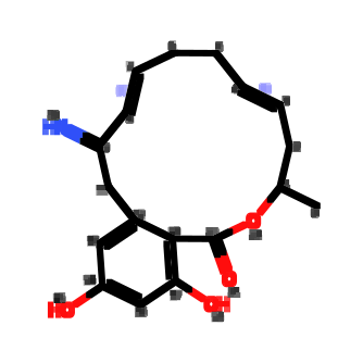 CC1C/C=C/CC/C=C/C(=N)Cc2cc(O)cc(O)c2C(=O)O1